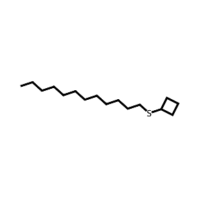 CCCCCCCCCCCCSC1CCC1